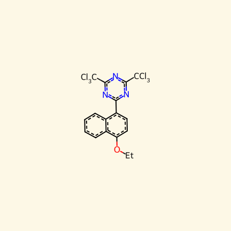 CCOc1ccc(-c2nc(C(Cl)(Cl)Cl)nc(C(Cl)(Cl)Cl)n2)c2ccccc12